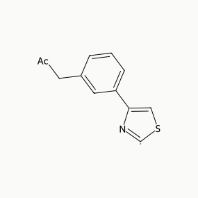 CC(=O)Cc1cccc(-c2cs[c]n2)c1